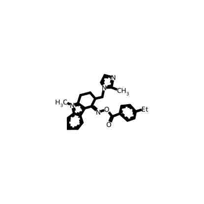 CCc1ccc(C(=O)ON=C2c3c(n(C)c4ccccc34)CCC2Cn2ccnc2C)cc1